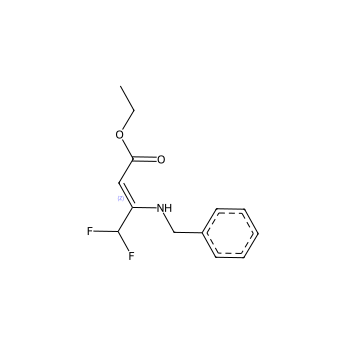 CCOC(=O)/C=C(\NCc1ccccc1)C(F)F